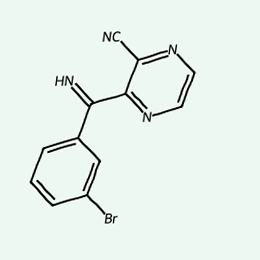 N#Cc1nccnc1C(=N)c1cccc(Br)c1